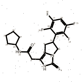 O=C(Cc1[nH]c(=S)n2c1CC(c1c(F)c(F)cc(F)c1F)C2)NC1CCCC1